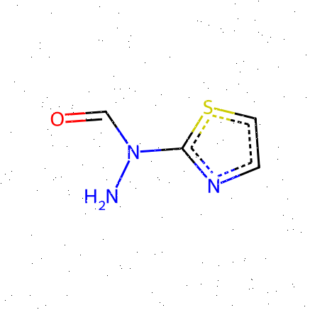 NN(C=O)c1nccs1